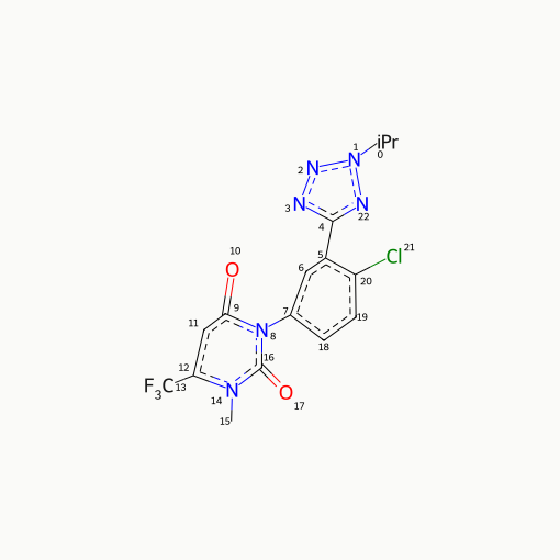 CC(C)n1nnc(-c2cc(-n3c(=O)cc(C(F)(F)F)n(C)c3=O)ccc2Cl)n1